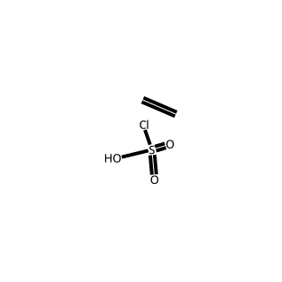 C=C.O=S(=O)(O)Cl